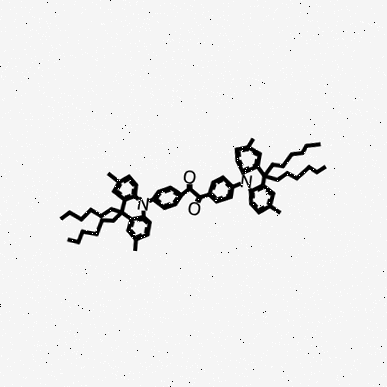 CCCCCCC1(CCCCCC)c2cc(C)ccc2N(c2ccc(C(=O)C(=O)c3ccc(N4c5ccc(C)cc5C(CCCCCC)(CCCCCC)c5cc(C)ccc54)cc3)cc2)c2ccc(C)cc21